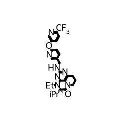 CCN1c2nc(NCc3ccc(Oc4ccc(C(F)(F)F)nc4)nc3)nc3c2N(CCC3)C(=O)[C@@H]1C(C)C